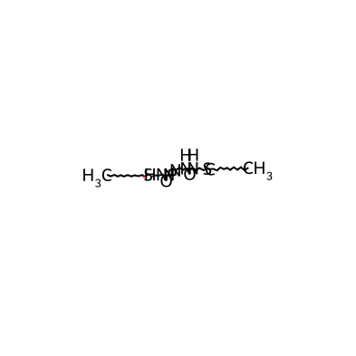 CCCCCCCCCCCCSCCCNC(=O)NCCN1CCN(C(=O)NCCCSCCCCCCCCCCCC)CC1